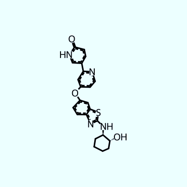 O=c1ccc(-c2cc(Oc3ccc4nc(N[C@@H]5CCCC[C@H]5O)sc4c3)ccn2)c[nH]1